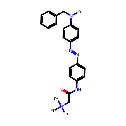 CCN(Cc1ccccc1)c1ccc(/N=N/c2ccc(NC(=O)C[N+](CC)(CC)CC)cc2)cc1